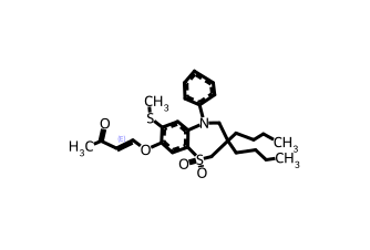 CCCCC1(CCCC)CN(c2ccccc2)c2cc(SC)c(O/C=C/C(C)=O)cc2S(=O)(=O)C1